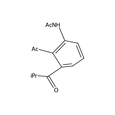 CC(=O)Nc1cccc(C(=O)C(C)C)c1C(C)=O